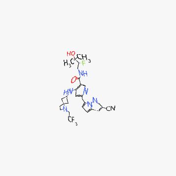 CC(C)(O)[C@H](F)CNC(=O)c1cnc(-c2ccc3cc(C#N)cnn23)cc1NC1CC2(CCN2CC(F)(F)F)C1